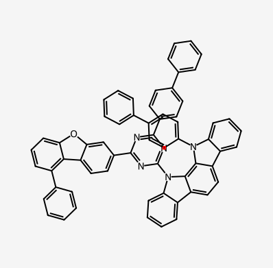 c1ccc(-c2ccc(-c3nc(-c4ccc5c(c4)oc4cccc(-c6ccccc6)c45)nc(-n4c5ccccc5c5ccc6c7ccccc7n(-c7ccc(-c8ccccc8)cc7)c6c54)n3)cc2)cc1